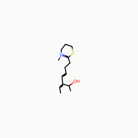 C/C=C(/C=C/CCC1=[N+](C)CCCS1)C(C)O